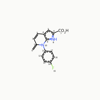 C=C1C=Cc2cc(C(=O)O)[nH]c2N1c1ccc(F)cc1